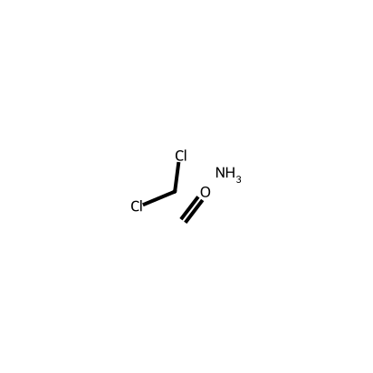 C=O.ClCCl.N